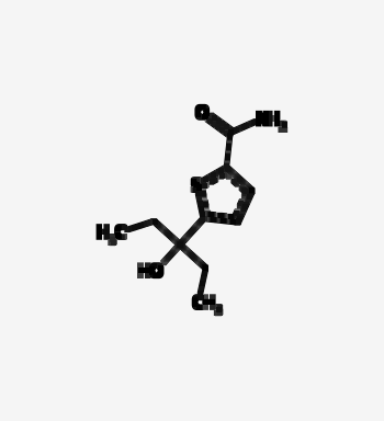 CCC(O)(CC)c1ccc(C(N)=O)s1